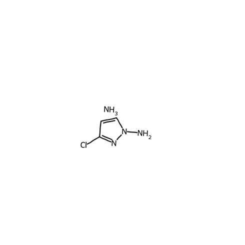 N.Nn1ccc(Cl)n1